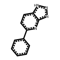 c1ccc(-c2ccc3[nH]nnc3n2)cc1